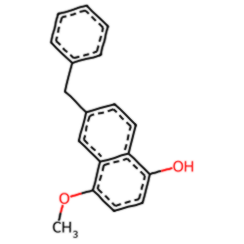 COc1ccc(O)c2ccc(Cc3ccccc3)cc12